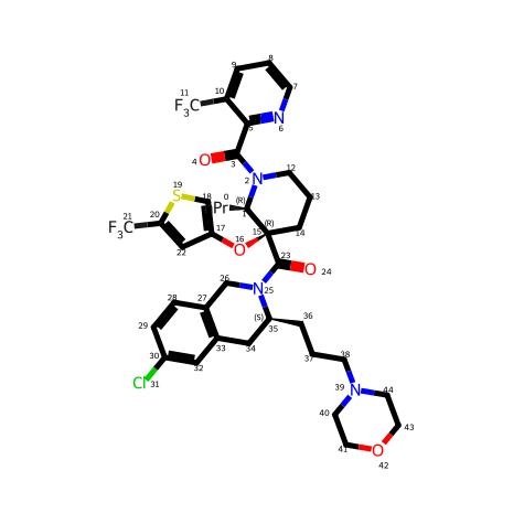 CCC[C@H]1N(C(=O)c2ncccc2C(F)(F)F)CCC[C@]1(Oc1csc(C(F)(F)F)c1)C(=O)N1Cc2ccc(Cl)cc2C[C@@H]1CCCN1CCOCC1